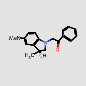 CNc1ccc2c(c1)C(C)(C)CN2CC(=O)c1ccccc1